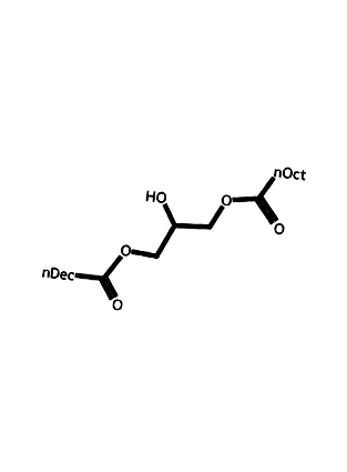 CCCCCCCCCCC(=O)OCC(O)COC(=O)CCCCCCCC